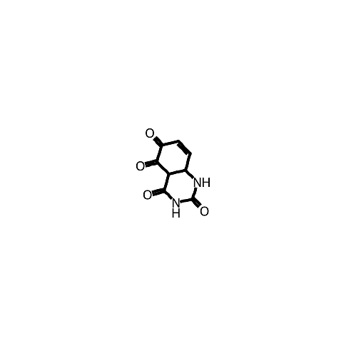 O=C1NC(=O)C2C(=O)C(=O)C=CC2N1